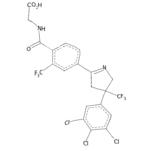 O=C(O)CNC(=O)c1ccc(C2=NCC(c3cc(Cl)c(Cl)c(Cl)c3)(C(F)(F)F)C2)cc1C(F)(F)F